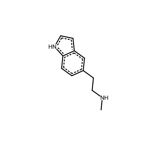 CNCCc1ccc2[nH]ccc2c1